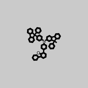 CC1(c2ccccc2)c2ccccc2-c2ccc(N(c3ccc(-c4cccc5c4oc4ccccc45)cc3)c3ccc(C4(c5ccccc5)c5ccccc5-c5ccccc54)cc3)cc21